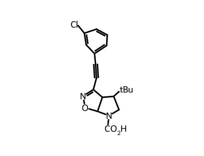 CC(C)(C)C1CN(C(=O)O)C2ON=C(C#Cc3cccc(Cl)c3)C21